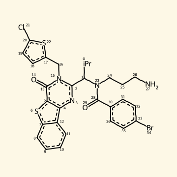 CC(C)C(c1nc2c(sc3ccccc32)c(=O)n1Cc1ccc(Cl)s1)N(CCCN)C(=O)c1ccc(Br)cc1